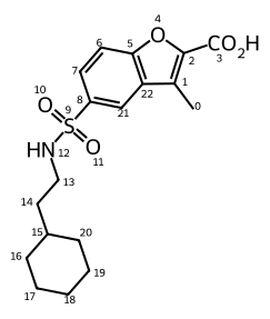 Cc1c(C(=O)O)oc2ccc(S(=O)(=O)NCCC3CCCCC3)cc12